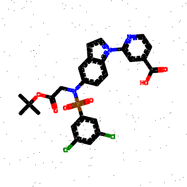 CC(C)(C)OC(=O)CN(c1ccc2c(ccn2-c2cc(C(=O)O)ccn2)c1)S(=O)(=O)c1cc(Cl)cc(Cl)c1